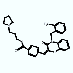 O=C(NCCCN1CCCC1)c1ccc(C=C2Oc3ccccc3N(Cc3ccccc3C(F)(F)F)C2=O)cc1